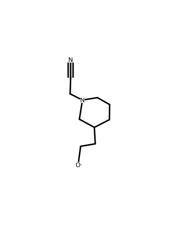 N#CCN1CCCC(CC[O])C1